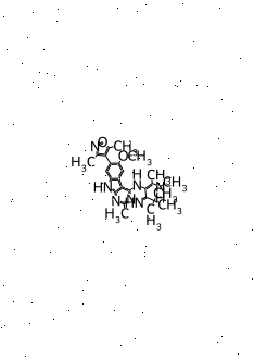 CN/C(C)=C(/Nc1nc(C)nc2[nH]c3cc(-c4c(C)noc4C)c(OC)cc3c12)C(=N)C(C)(C)C